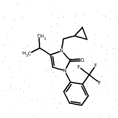 CC(C)c1cn(-c2ccccc2C(F)(F)F)c(=O)n1CC1CC1